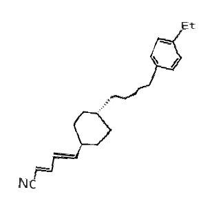 CCc1ccc(CCCC[C@H]2CC[C@H](C=CC=CC#N)CC2)cc1